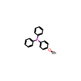 [O]=[Rh].c1ccc(P(c2ccccc2)c2ccccc2)cc1